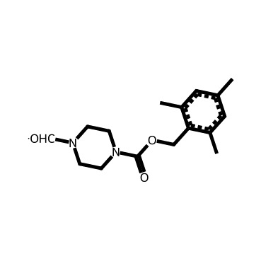 Cc1cc(C)c(COC(=O)N2CCN([C]=O)CC2)c(C)c1